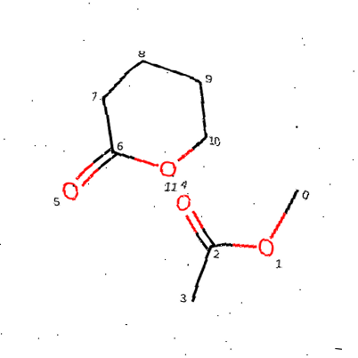 COC(C)=O.O=C1CCCCO1